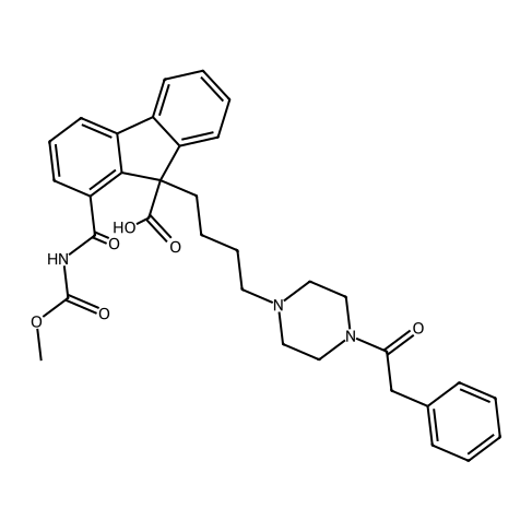 COC(=O)NC(=O)c1cccc2c1C(CCCCN1CCN(C(=O)Cc3ccccc3)CC1)(C(=O)O)c1ccccc1-2